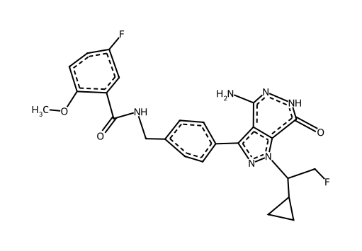 COc1ccc(F)cc1C(=O)NCc1ccc(-c2nn(C(CF)C3CC3)c3c(=O)[nH]nc(N)c23)cc1